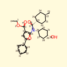 CCOC(=O)c1cc(-c2ccccc2)oc1N(C(=O)[C@H]1CC[C@H](C)CC1)[C@H]1CC[C@@H](O)CC1